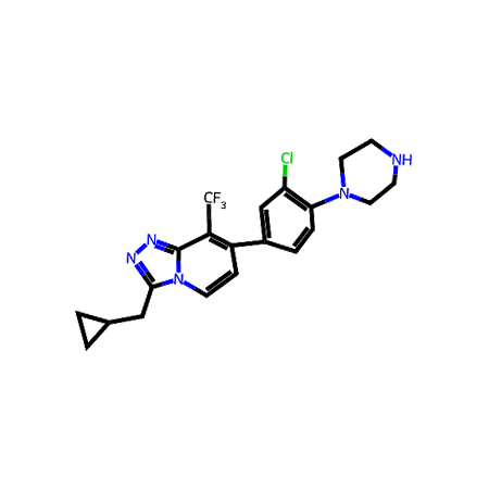 FC(F)(F)c1c(-c2ccc(N3CCNCC3)c(Cl)c2)ccn2c(CC3CC3)nnc12